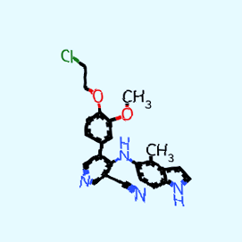 COc1cc(-c2cncc(C#N)c2Nc2ccc3[nH]ccc3c2C)ccc1OCCCl